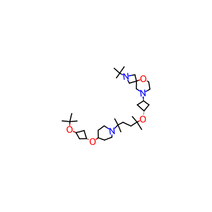 CC(C)(C)O[C@H]1C[C@H](OC2CCN(C(C)(C)CCC(C)(C)O[C@H]3C[C@H](N4CCOC5(CN(C(C)(C)C)C5)C4)C3)CC2)C1